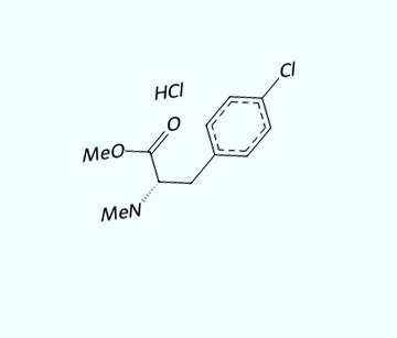 CN[C@@H](Cc1ccc(Cl)cc1)C(=O)OC.Cl